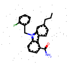 CCCc1c[c]c2c3c(C(N)=O)cccc3n(Cc3ccccc3F)c2c1